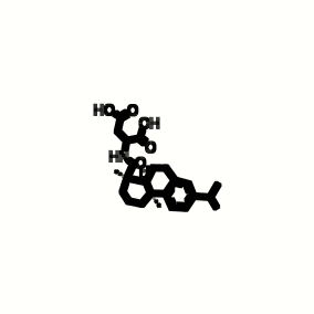 CC(C)c1ccc2c(c1)CC[C@H]1[C@](C)(C(=O)NC(CC(=O)O)C(=O)O)CCC[C@]21C